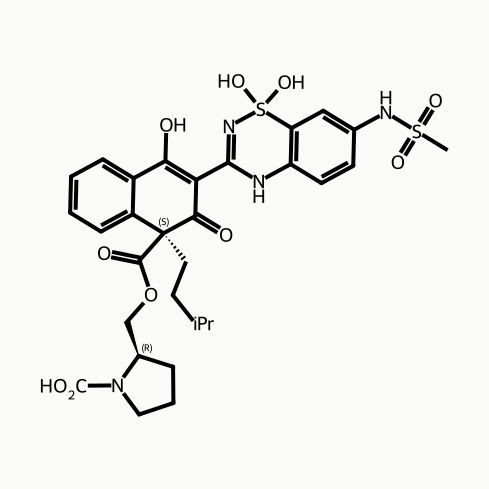 CC(C)CC[C@@]1(C(=O)OC[C@H]2CCCN2C(=O)O)C(=O)C(C2=NS(O)(O)c3cc(NS(C)(=O)=O)ccc3N2)=C(O)c2ccccc21